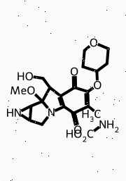 COC12C(CO)C3=C(C(=O)C(C)=C(OC4CCOCC4)C3=O)N1CC1NC12.NC(=O)O